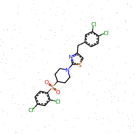 O=S(=O)(c1ccc(Cl)cc1Cl)C1CCN(c2nc(Cc3ccc(Cl)c(Cl)c3)cs2)CC1